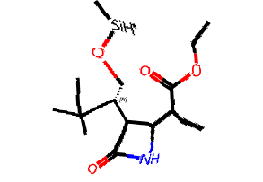 CCOC(=O)C(C)C1NC(=O)C1[C@@H](CO[SiH](C)C)C(C)(C)C